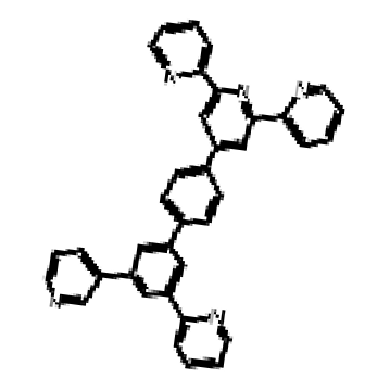 c1ccc(-c2cc(-c3ccc(-c4cc(-c5ccccn5)nc(-c5ccccn5)c4)cc3)cc(-c3cccnc3)c2)nc1